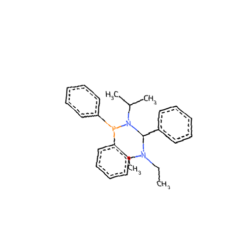 CCN(CC)C(c1ccccc1)N(C(C)C)P(c1ccccc1)c1ccccc1